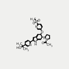 CC(=O)N1CCC[C@@H]1C1C=c2[nH]c(-c3ccc(C(C)(C)O)cn3)cc2=CC1Oc1ccc(S(C)(=O)=O)nc1